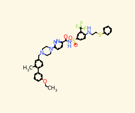 CCOc1cccc(-c2ccc(CN3CCN(c4ccc(C(=O)NS(=O)(=O)c5ccc(NCCSc6ccccc6)c(C(F)(F)F)c5)nn4)CC3)cc2C)c1